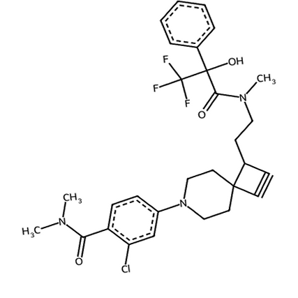 CN(C)C(=O)c1ccc(N2CCC3(C#CC3CCN(C)C(=O)C(O)(c3ccccc3)C(F)(F)F)CC2)cc1Cl